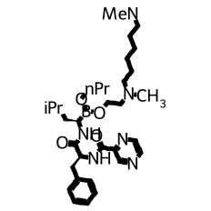 CCCOB(OCCN(C)CCCCCCNC)[C@H](CC(C)C)NC(=O)[C@H](Cc1ccccc1)NC(=O)c1cnccn1